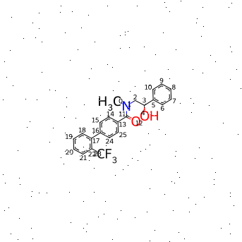 CN(C[C@H](O)c1ccccc1)C(=O)c1ccc(-c2ccccc2C(F)(F)F)cc1